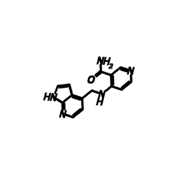 NC(=O)c1cnccc1NCc1ccnc2[nH]ccc12